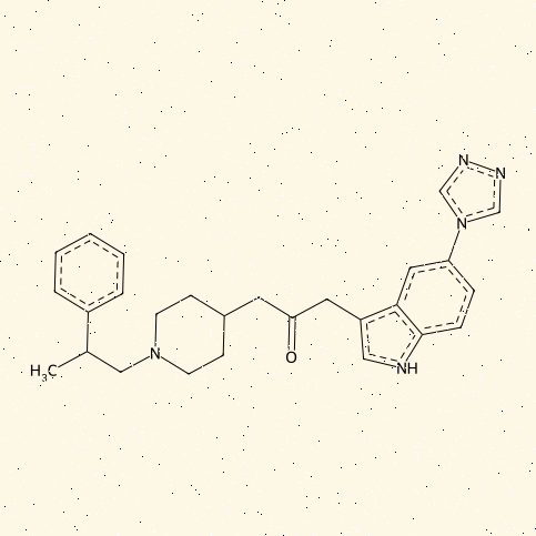 CC(CN1CCC(CC(=O)Cc2c[nH]c3ccc(-n4cnnc4)cc23)CC1)c1ccccc1